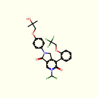 CC(C)(O)COc1ccc(N2Cc3c(cn(C(F)F)c(=O)c3-c3ccccc3OCC(F)(F)F)C2=O)cc1